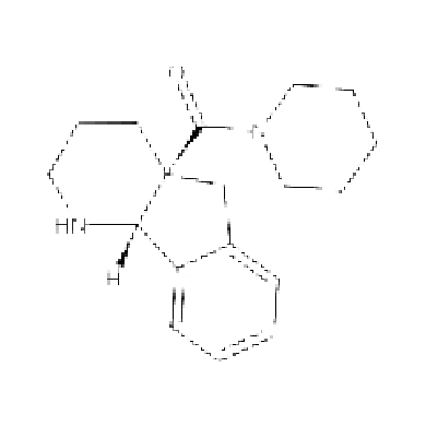 O=C(N1CCCCC1)[C@]12CCCN[C@H]1c1ccccc1C2